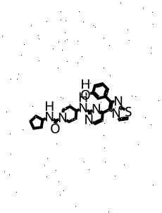 O=C(NC1CCCC1)N1CCC(Nc2nccc(-c3c(-c4cccc(O)c4)nc4sccn34)n2)CC1